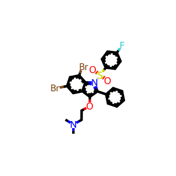 CN(C)CCOc1c(-c2ccccc2)n(S(=O)(=O)c2ccc(F)cc2)c2c(Br)cc(Br)cc12